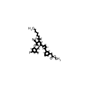 CCCCCCC(F)(F)c1cc(-c2ccc(-c3cccc(CC(=O)OC)c3)s2)n(Cc2ccc(F)cc2F)c(=O)c1C#N